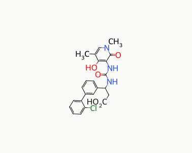 Cc1cn(C)c(=O)c(NC(=O)NC(CC(=O)O)c2cccc(-c3ccccc3Cl)c2)c1O